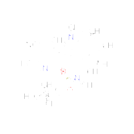 Cc1nc2c(c(C)c1C#N)C=C(C(C)(c1c(C)c(C)c(C)c3c1ccn3C)N(C)S(=O)(=O)CC[Si](C)(C)C)C2